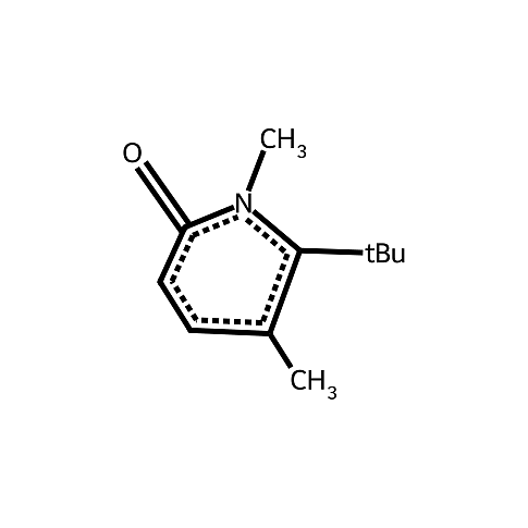 Cc1ccc(=O)n(C)c1C(C)(C)C